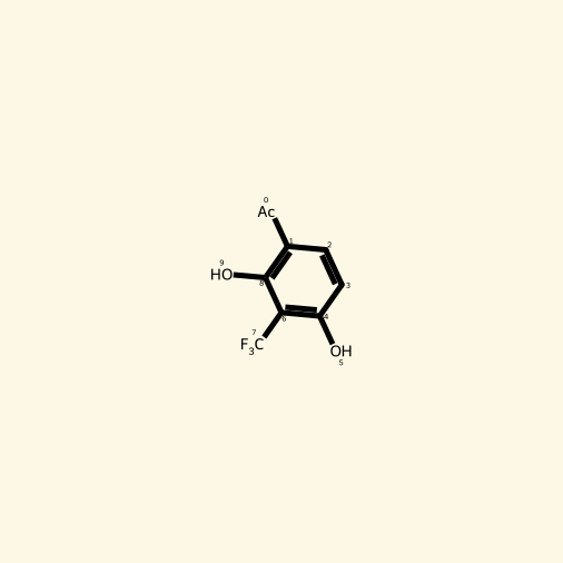 CC(=O)c1ccc(O)c(C(F)(F)F)c1O